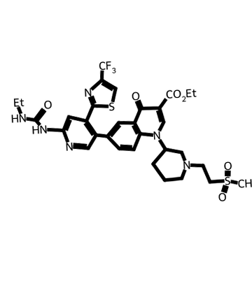 CCNC(=O)Nc1cc(-c2nc(C(F)(F)F)cs2)c(-c2ccc3c(c2)c(=O)c(C(=O)OCC)cn3C2CCCN(CCS(C)(=O)=O)C2)cn1